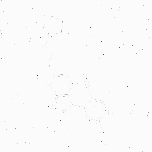 Cn1cc(-c2nc(Cl)ncc2C#N)c2ccc(OCCN3CCCC3)cc21